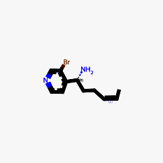 C/C=C\CC[C@@H](N)c1ccncc1Br